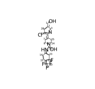 OCc1cnc(C2=CCN(C(O)Nc3ccc(C(F)(F)F)c(F)c3)CC2)c(Cl)c1